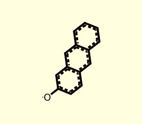 [O]c1ccc2cc3ccccc3cc2c1